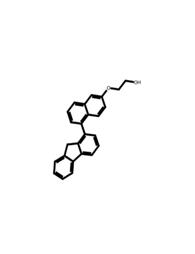 OCCOc1ccc2c(-c3cccc4c3Cc3ccccc3-4)cccc2c1